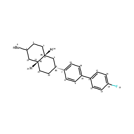 CCCCC1CC[C@@H]2C[C@H](c3ccc(-c4ccc(F)cc4)cc3)CC[C@@H]2C1